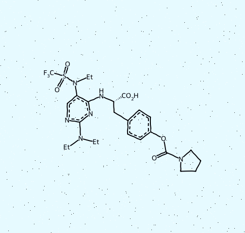 CCN(CC)c1ncc(N(CC)S(=O)(=O)C(F)(F)F)c(N[C@@H](Cc2ccc(OC(=O)N3CCCC3)cc2)C(=O)O)n1